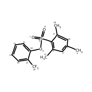 Cc1cc(C)c(S(=O)(=O)Oc2ccccc2C(F)(F)F)c(C)c1